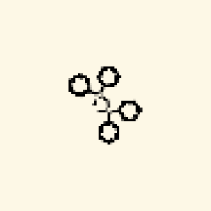 C[Si](C[Si](C)(c1ccccc1)c1ccccc1)(c1ccccc1)c1ccccc1